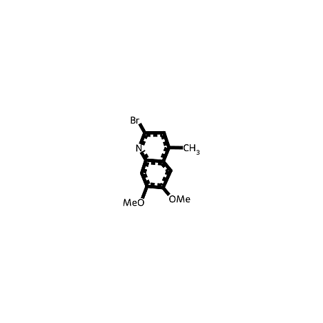 COc1cc2nc(Br)cc(C)c2cc1OC